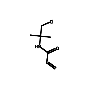 C=CC(=O)NC(C)(C)CCl